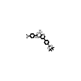 CN(C)c1ccc(C(=O)Nc2cc(-c3ccc(B4OC(C)(C)C(C)(C)O4)cc3)cnc2N)cc1